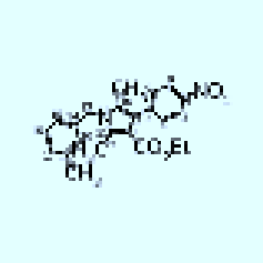 CCOC(=O)c1c(-c2ccc([N+](=O)[O-])cc2)c(C)n(Cc2cccc(C)c2)c1C